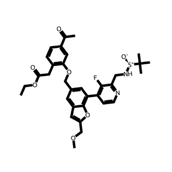 CCOC(=O)Cc1ccc(C(C)=O)cc1OCc1cc(-c2ccnc(CN[S@@+]([O-])C(C)(C)C)c2F)c2oc(COC)cc2c1